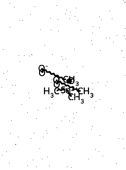 C1CCOC1.CCCCCCCCCCCC(=O)[O-].CCCCCCCCCCCC(=O)[O-].CCC[CH2][Sn+2][CH2]CCC